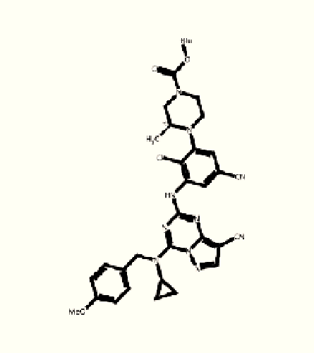 COc1ccc(CN(c2nc(Nc3cc(C#N)cc(N4CCN(C(=O)OC(C)(C)C)C[C@@H]4C)c3Cl)nc3c(C#N)cnn23)C2CC2)cc1